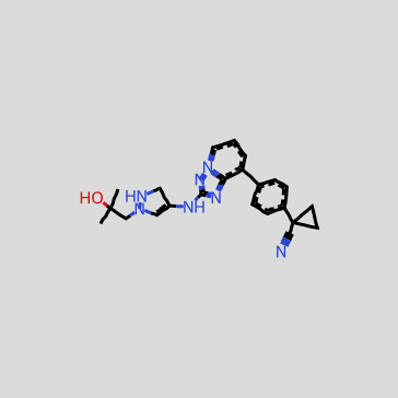 CC(C)(O)CN1C=C(Nc2nc3c(-c4ccc(C5(C#N)CC5)cc4)cccn3n2)CN1